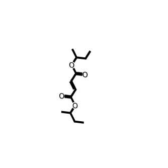 CCC(C)OC(=O)C=CC(=O)OC(C)CC